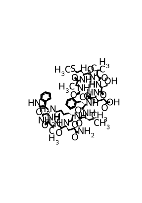 CSCC[C@H](NC(=O)[C@H](C)NC(C)=O)C(=O)N[C@H](C(=O)N[C@@H](CO)C(=O)N[C@@H](CCC(=O)O)C(=O)N[C@@H](Cc1ccccc1)C(=O)N[C@@H](CC(C)C)C(=O)N[C@@H](CCCCN)C(=O)N[C@@H](CCC(N)=O)C(=O)N[C@@H](C)C(=O)N[C@@H](Cc1c[nH]c2ccccc12)C(N)=O)C(C)C